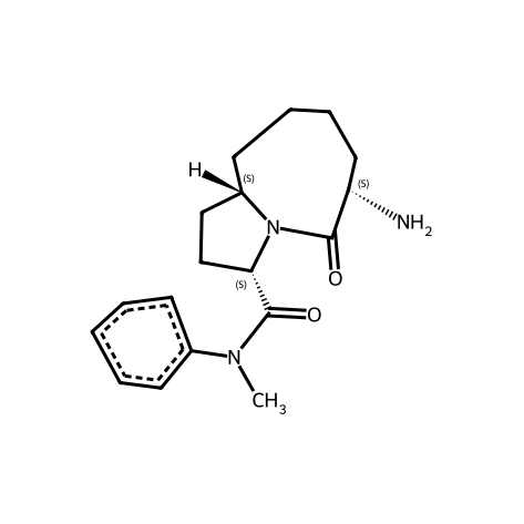 CN(C(=O)[C@@H]1CC[C@@H]2CCCC[C@H](N)C(=O)N21)c1ccccc1